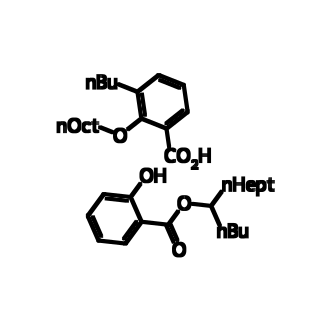 CCCCCCCC(CCCC)OC(=O)c1ccccc1O.CCCCCCCCOc1c(CCCC)cccc1C(=O)O